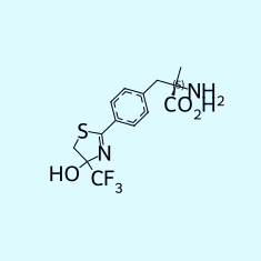 C[C@](N)(Cc1ccc(C2=NC(O)(C(F)(F)F)CS2)cc1)C(=O)O